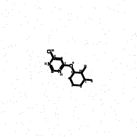 CC1CCCC(Oc2cc(Cl)ncn2)C1C